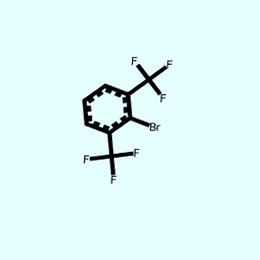 FC(F)(F)c1cccc(C(F)(F)F)c1Br